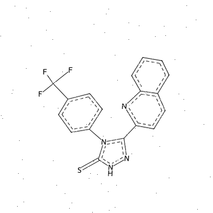 FC(F)(F)c1ccc(-n2c(-c3ccc4ccccc4n3)n[nH]c2=S)cc1